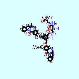 COC(=O)CCNC(=O)[C@H](C)NC(=O)[C@H](C)NC(=O)c1cc(COc2cc3c(cc2OC)C(=O)N2c4ccccc4CC2C=N3)cc(COc2cc3c(cc2OC)C(=O)N2c4ccccc4C[C@H]2C=N3)c1